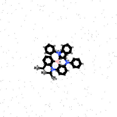 CCc1cccc2c1N(C(C)C)c1cccc3c1B2c1c(c2ccccc2n1-c1ccccc1)N3c1ccccc1